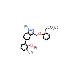 CCOC(=O)Cc1ccccc1OCc1nn(C(C)C)c2ccc(-c3cccc(C#N)c3OC(C)C)cc12